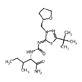 CCC(C)[C@H](NC(=O)/N=c1\sc(C(C)(C)C)nn1C[C@H]1CCCO1)C(N)=O